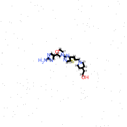 Nc1ncc(C2CN(c3ncc4sc(CN5CCC(CCO)CC5)cc4n3)CCO2)cn1